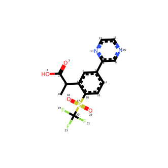 CC(C(=O)O)c1cc(-c2cnccn2)ccc1S(=O)(=O)C(F)(F)F